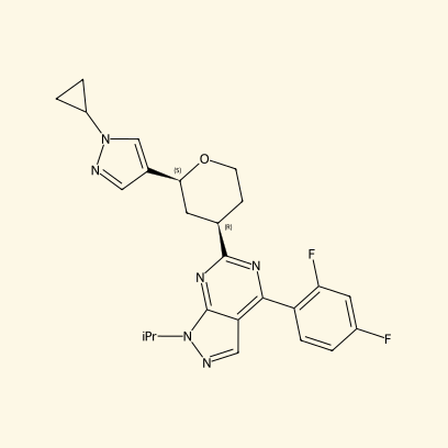 CC(C)n1ncc2c(-c3ccc(F)cc3F)nc([C@@H]3CCO[C@H](c4cnn(C5CC5)c4)C3)nc21